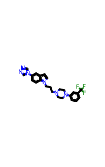 FC(F)(F)c1cccc(N2CCN(CCCn3ccc4cc(-n5cnnc5)ccc43)CC2)c1